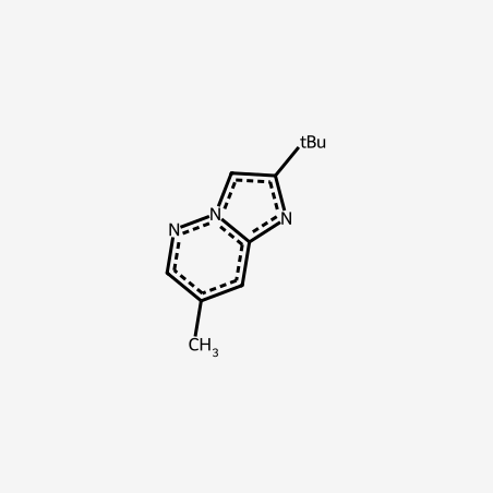 Cc1cnn2cc(C(C)(C)C)nc2c1